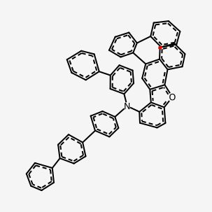 c1ccc(-c2ccc(-c3ccc(N(c4cccc(-c5ccccc5)c4)c4cccc5oc6c7ccccc7c(-c7ccccc7-c7ccccc7)cc6c45)cc3)cc2)cc1